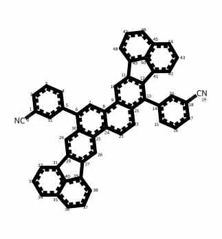 N#Cc1cccc(-c2cc3c4cc5c(c(-c6cccc(C#N)c6)c4ccc3c3cc4c(cc23)-c2cccc3cccc-4c23)-c2cccc3cccc-5c23)c1